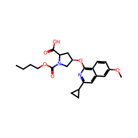 CCCCOC(=O)N1C[C@H](Oc2nc(C3CC3)cc3cc(OC)ccc23)CC1C(=O)O